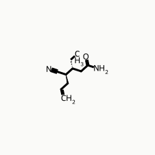 C=CC[C@@H](C#N)[C@H](CC)CC(N)=O